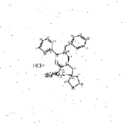 CC(C)(C)OC(=O)[C@@H](CN(Cc1ccccc1)Cc1ccccc1)CC1(C(=O)O)CCCC1.Cl